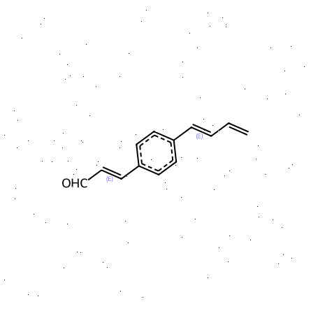 C=C/C=C/c1ccc(/C=C/C=O)cc1